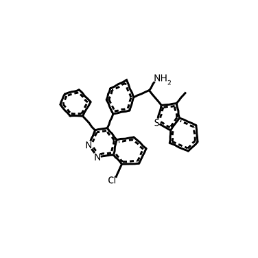 Cc1c(C(N)c2cccc(-c3c(-c4ccccc4)nnc4c(Cl)cccc34)c2)sc2ccccc12